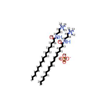 CCCCCCCCC=CCCCCCCCC(=O)NCCC[N+](C)(C)C.CCCCCCCCC=CCCCCCCCC(=O)NCCC[N+](C)(C)C.O=S(=O)([O-])[O-]